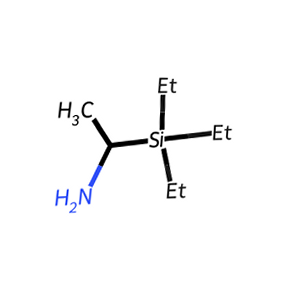 CC[Si](CC)(CC)C(C)N